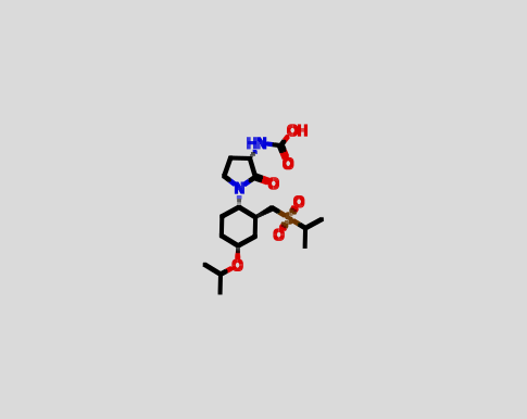 CC(C)O[C@H]1CC[C@H](N2CC[C@H](NC(=O)O)C2=O)[C@@H](CS(=O)(=O)C(C)C)C1